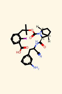 CC(C)(Cc1cccc(C(=O)O)c1I)OC(=O)N1[C@@H]2CC[C@@H](C2)[C@H]1C(=O)NC(C#N)Cc1cccc(N)c1